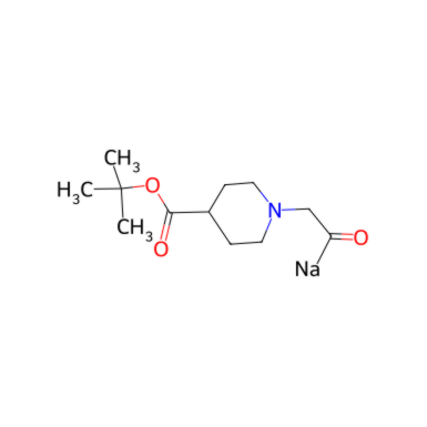 CC(C)(C)OC(=O)C1CCN(C[C](=O)[Na])CC1